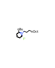 CCCCCCCCCCC[n+]1ccccc1CCCC.[F-]